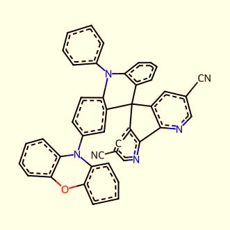 N#Cc1cnc2c(c1)C1(c3ccccc3N(c3ccccc3)c3ccc(N4c5ccccc5Oc5ccccc54)cc31)c1cc(C#N)cnc1-2